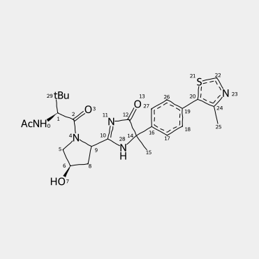 CC(=O)N[C@H](C(=O)N1C[C@H](O)CC1C1=NC(=O)C(C)(c2ccc(-c3scnc3C)cc2)N1)C(C)(C)C